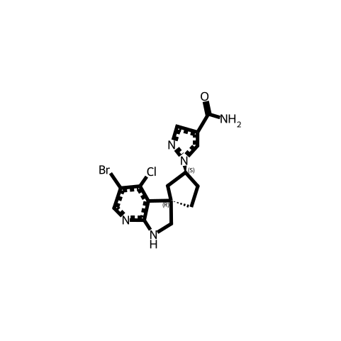 NC(=O)c1cnn([C@H]2CC[C@@]3(CNc4ncc(Br)c(Cl)c43)C2)c1